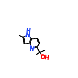 Cc1cc2nc(C(C)(C)O)ccc2[nH]1